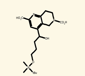 CC(C)(C)[Si](C)(C)OCCCC(O)c1cc(C(=O)O)nc2c1CN(C(=O)O)CC2